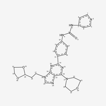 O=C(Nc1ccncc1)Nc1ccc(-c2nc(N3CCOCC3)c3ncn(CCC4OCCO4)c3n2)cc1